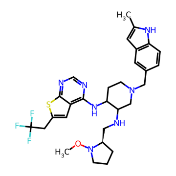 CON1CCC[C@@H]1CNC1CN(Cc2ccc3[nH]c(C)cc3c2)CCC1Nc1ncnc2sc(CC(F)(F)F)cc12